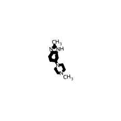 Cc1nc2ccc(N3CCN(C)CC3)cc2[nH]1